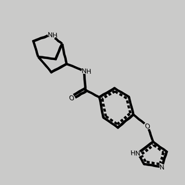 O=C(NC1CC2CNC1C2)c1ccc(Oc2cnc[nH]2)cc1